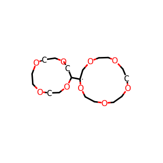 C1COCCOC[C](C2COCCOCCOCCO2)OCCOCCO1